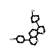 Oc1ccc(-c2ccnc3c2ccc2c(-c4ccc(O)cc4)ccnc23)cc1